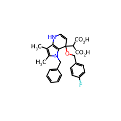 Cc1c2c(n(Cc3ccccc3)c1C)C(OCc1ccc(F)cc1)(C(C(=O)O)C(=O)O)C=CN2